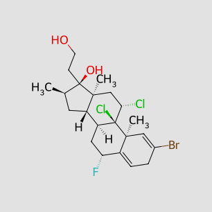 C[C@@H]1C[C@H]2[C@@H]3C[C@@H](F)C4=CCC(Br)=C[C@]4(C)[C@@]3(Cl)[C@@H](Cl)C[C@]2(C)[C@@]1(O)CCO